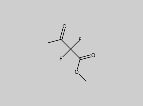 COC(=O)C(F)(F)C(C)=O